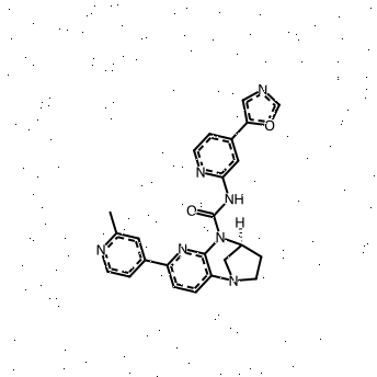 Cc1cc(-c2ccc3c(n2)N(C(=O)Nc2cc(-c4cnco4)ccn2)[C@H]2CCN3C2)ccn1